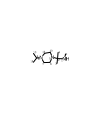 CNC(C)(C)N1CCN(C(C)C)CC1